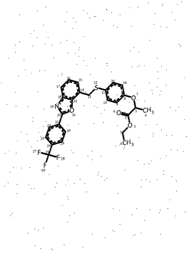 CCOC(=O)C(C)Oc1ccc(SCc2cccc3nc(-c4ccc(C(F)(F)F)cc4)oc23)cc1